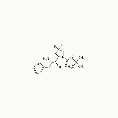 CC(C)(C)OC(=O)N1CC(F)(F)C[C@@H]1[C@@H](O)[C@@H](N)Cc1ccccc1